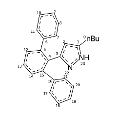 CCCCc1cc(-c2c(-c3ccccc3)cccc2-c2ccccc2)n[nH]1